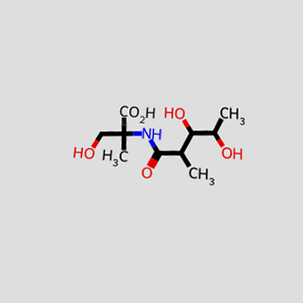 CC(O)C(O)C(C)C(=O)NC(C)(CO)C(=O)O